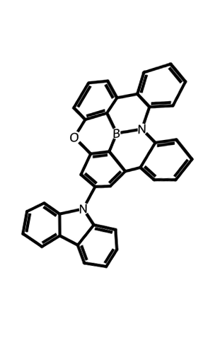 c1ccc2c(c1)-c1cccc3c1B1c4c(cc(-n5c6ccccc6c6ccccc65)cc4-c4ccccc4N12)O3